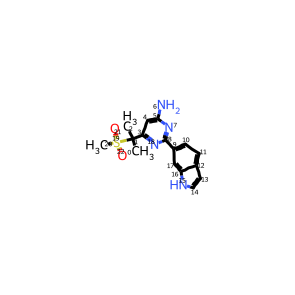 CC(C)(c1cc(N)nc(-c2ccc3cc[nH]c3c2)n1)S(C)(=O)=O